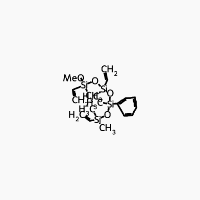 C=C[Si](C)(C)O[Si](C)(O[Si](C)(C=C)O[Si](C)(C=C)OC)c1ccccc1